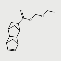 CCOCOC(=O)C1CC2CC1C1C3C=CC(C3)C21